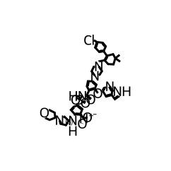 CC1(C)CCC(CN2CCN(c3ccc(C(=O)NS(=O)(=O)c4ccc(N[C@H]5CCN(C6CCOCC6)C5)c([N+](=O)[O-])c4)c(Oc4cnc5[nH]ccc5c4)c3)CC2)=C(c2ccc(Cl)cc2)C1